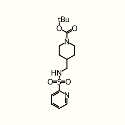 CC(C)(C)OC(=O)N1CCC(CNS(=O)(=O)c2ccccn2)CC1